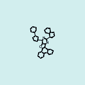 c1ccc(-c2cccc(-c3nc(-c4cccc5ccccc45)nc4c3oc3c5ccccc5c5ccccc5c43)c2)cc1